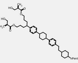 C=C(CO)C(=O)OCCCC(CCCOC(=O)C(=C)CO)c1ccc(C2CCC(c3ccc(CCC4CCC(CCCCC)CC4)cc3)CC2)cc1